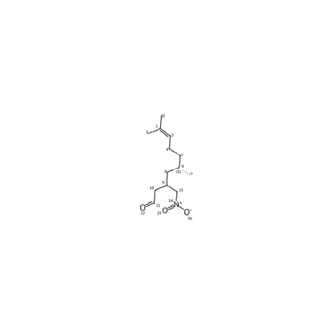 CC(C)=CCC[C@H](C)CC(CC=O)C[N+](=O)[O-]